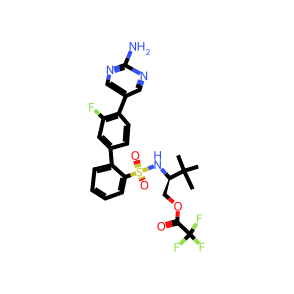 CC(C)(C)[C@@H](COC(=O)C(F)(F)F)NS(=O)(=O)c1ccccc1-c1ccc(-c2cnc(N)nc2)c(F)c1